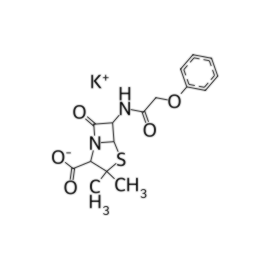 CC1(C)SC2C(NC(=O)COc3ccccc3)C(=O)N2C1C(=O)[O-].[K+]